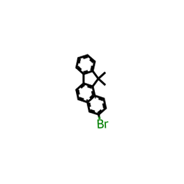 CC1(C)c2ccccc2-c2ccc3cc(Br)ccc3c21